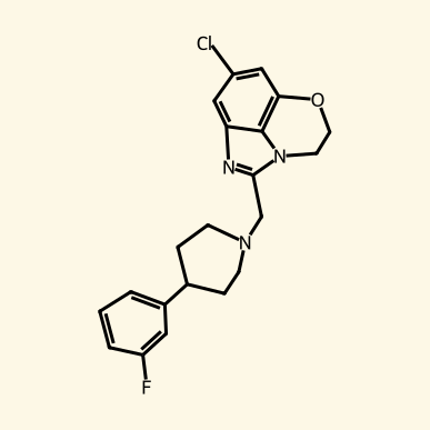 Fc1cccc(C2CCN(Cc3nc4cc(Cl)cc5c4n3CCO5)CC2)c1